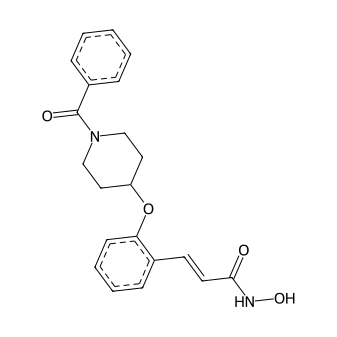 O=C(C=Cc1ccccc1OC1CCN(C(=O)c2ccccc2)CC1)NO